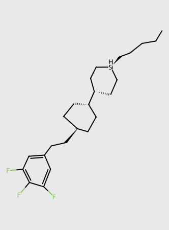 CCCCC[Si@H]1CC[C@H]([C@H]2CC[C@H](CCc3cc(F)c(F)c(F)c3)CC2)CC1